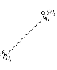 C=CC(=O)NCCCCCCCCCCCCCCCCCCN(C)C